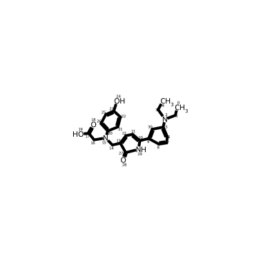 CCN(CC)c1cccc(-c2ccc(CN(CC(=O)O)c3ccc(O)cc3)c(=O)[nH]2)c1